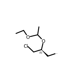 [CH2]C[C@@H](CCl)OC(C)OCC